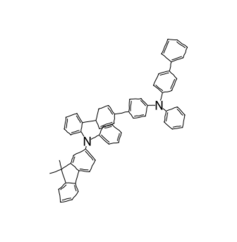 CC1(C)c2ccccc2-c2ccc(N(c3ccccc3)c3ccccc3C3C=CC(c4ccc(N(c5ccccc5)c5ccc(-c6ccccc6)cc5)cc4)=CC3)cc21